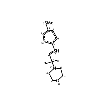 CSc1ccc([SH]=CC(C)(C)N2CCOCC2)cc1